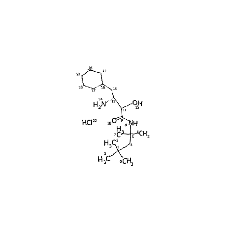 CC(C)(C)CC(C)(C)NC(=O)C(O)[C@H](N)CC1CCCCC1.Cl